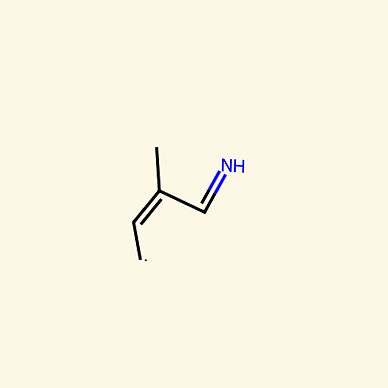 [CH2]C=C(C)C=N